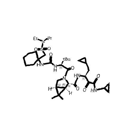 CCN(C(C)C)S(=O)(=O)CC1(NC(=O)N[C@H](C(=O)N2C[C@H]3[C@@H]([C@H]2C(=O)N[C@@H](CC2CC2)C(=O)C(=O)NC2CC2)C3(C)C)C(C)(C)C)CCCCC1